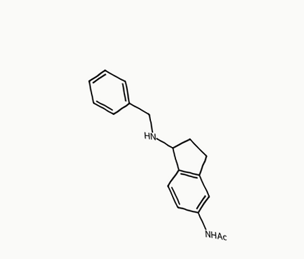 CC(=O)Nc1ccc2c(c1)CCC2NCc1ccccc1